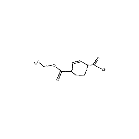 CCOC(=O)C1C=CC(C(=O)O)CC1